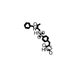 Cc1oc(-c2ccccc2)nc1CNS(=O)(=O)c1ccc(CC2SC(=O)NC2=O)cc1